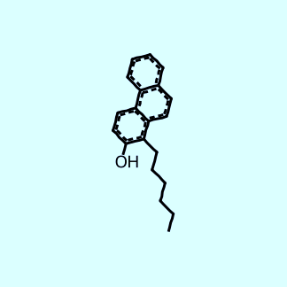 CCCCCCc1c(O)ccc2c1ccc1ccccc12